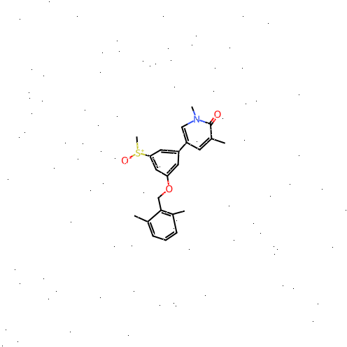 Cc1cccc(C)c1COc1cc(-c2cc(C)c(=O)n(C)c2)cc([S+](C)[O-])c1